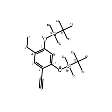 C#Cc1cc(CC)c(O[Si](C)(C)C(C)(C)C)cc1O[Si](C)(C)C(C)(C)C